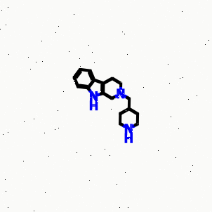 c1ccc2c3c([nH]c2c1)CN(CC1CCNCC1)CC3